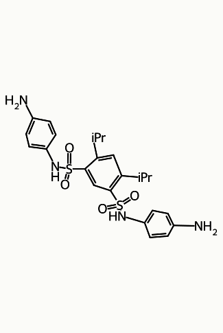 CC(C)c1cc(C(C)C)c(S(=O)(=O)Nc2ccc(N)cc2)cc1S(=O)(=O)Nc1ccc(N)cc1